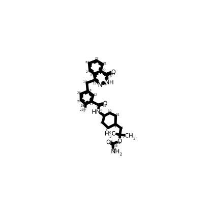 CC(C)(CC1CCC(NC(=O)c2cc(Cc3n[nH]c(=O)c4ccccc34)ccc2F)CC1)OC(N)=O